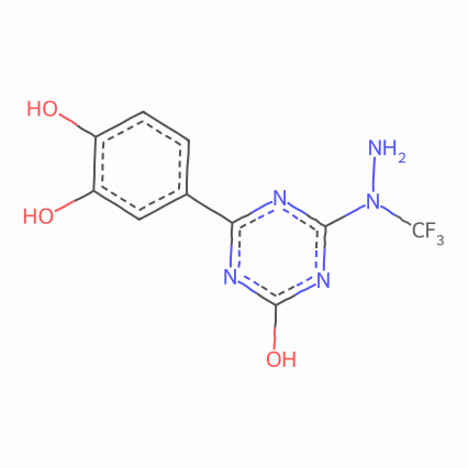 NN(c1nc(O)nc(-c2ccc(O)c(O)c2)n1)C(F)(F)F